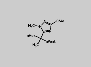 CCCCCCC(C)(CCCCC)c1nc(OC)nn1C